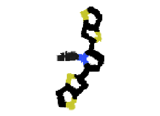 CCCCCCn1c(-c2cc3sccc3s2)ccc1-c1cc2sccc2s1